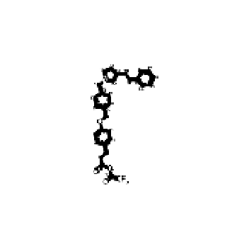 O=C(CCc1ccc(OCc2ccc(CN3CCC(CCc4ccccc4)C3)cc2)cc1)OC(=O)C(F)(F)F